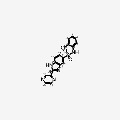 O=S(=O)(Nc1ccccc1Cl)c1ccc2[nH]c(-c3cnccn3)nc2c1